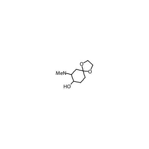 CNC1CC2(CCC1O)OCCO2